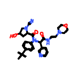 CC(C)(C)c1ccc(N(C(=O)C2CC(O)CN2C#N)C(C(=O)NCCN2CCOCC2)c2cccnc2)cc1